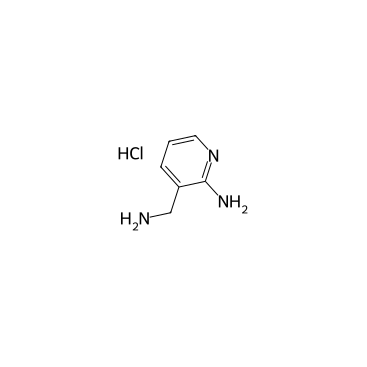 Cl.NCc1cccnc1N